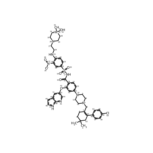 CC1(C)CCC(CN2CCN(c3ccc(C(=O)NS(=O)(=O)c4ccc(NCCN5CC[PH](C)(O)CC5)c([N+](=O)[O-])c4)c(Oc4cnc5[nH]ccc5c4)c3)CC2)=C(c2ccc(Cl)cc2)C1